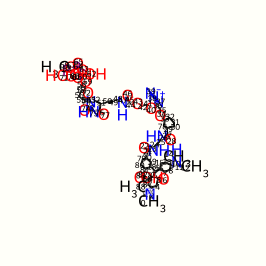 CC/N=c1/cc2oc3cc(NCC)c(C)cc3c(-c3cc(C(=O)NCCNC(=O)c4cccc(OCC(N=[N+]=[N-])OCCOCC(=O)NCC#Cc5cn([C@H]6CC[C@@H](COP(=O)(O)OP(=O)(O)OP(C)(=O)O)O6)c(=O)[nH]c5=O)c4)ccc3C(=O)O)c-2cc1C